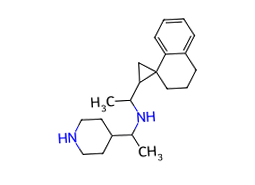 CC(NC(C)C1CC12CCCc1ccccc12)C1CCNCC1